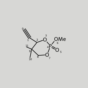 C#CC1OP(=O)(OC)OCC1(C)C